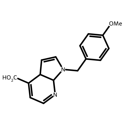 COc1ccc(CN2C=CC3C(C(=O)O)=CC=NC32)cc1